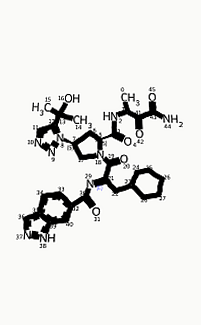 CC(NC(=O)[C@@H]1C[C@H](n2nncc2C(C)(C)O)CN1C(=O)/C(CC1CCCCC1)=N/C(=O)c1ccc2cn[nH]c2c1)C(=O)C(N)=O